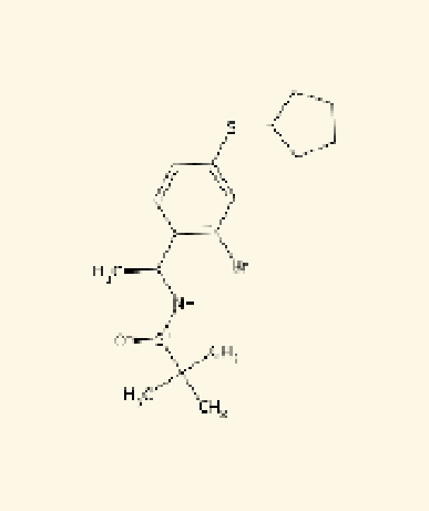 C[C@H](N[S@+]([O-])C(C)(C)C)c1ccc(SC2CCCC2)cc1Br